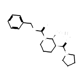 O=C(O)[C@H]1[C@@H](C(=O)N2CCCC2)CCCN1C(=O)OCc1ccccc1